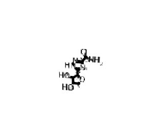 NC(=O)c1n[nH]c(C2OCC(O)C2O)n1